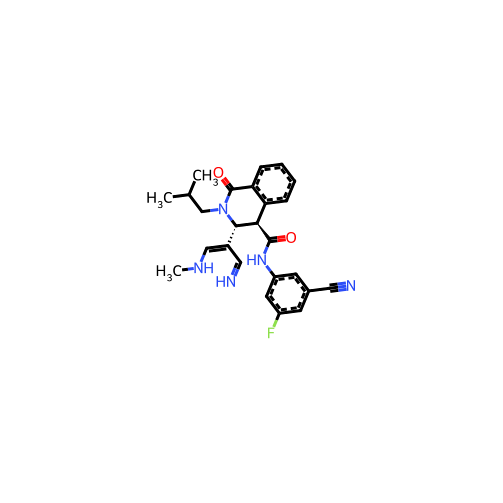 CN/C=C(\C=N)[C@H]1[C@H](C(=O)Nc2cc(F)cc(C#N)c2)c2ccccc2C(=O)N1CC(C)C